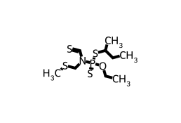 CCOP(=S)(SC(C)CC)N(C=S)CSC